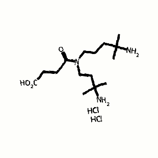 CC(C)(N)CCCN(CCC(C)(C)N)C(=O)CCC(=O)O.Cl.Cl